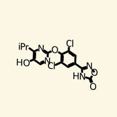 CC(C)c1nc(Oc2c(Cl)cc(-c3noc(=O)[nH]3)cc2Cl)ncc1O